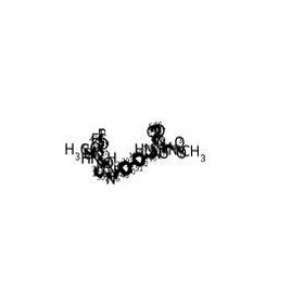 COC(=O)NCC(=O)N1CC2(C[C@H]1c1ncc(-c3ccc(-c4ccc(-c5cnc([C@@H]6CCCN6C(=O)[C@H](CCOC(F)F)NC(=O)OC)[nH]5)cc4)cc3)[nH]1)OCCO2